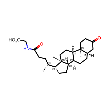 C[C@H](CCC(=O)NCC(=O)O)[C@H]1CC[C@H]2[C@@H]3CC[C@@H]4CC(=O)CC[C@]4(C)[C@H]3CC[C@]12C